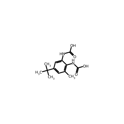 Cc1cc(C(C)(C)C)cc(NC(=O)O)c1NC(=O)O